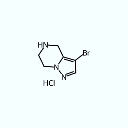 Brc1cnn2c1CNCC2.Cl